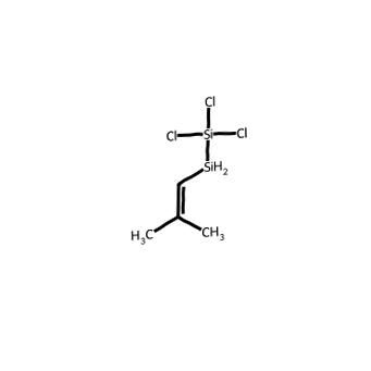 CC(C)=C[SiH2][Si](Cl)(Cl)Cl